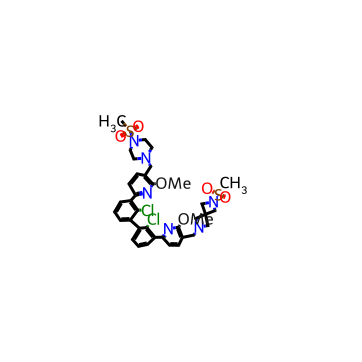 COc1nc(-c2cccc(-c3cccc(-c4ccc(CN5CC6(C5)CN(S(C)(=O)=O)C6)c(OC)n4)c3Cl)c2Cl)ccc1CN1CCN(S(C)(=O)=O)CC1